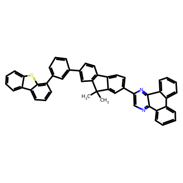 CC1(C)c2cc(-c3cccc(-c4cccc5c4sc4ccccc45)c3)ccc2-c2ccc(-c3cnc4c5ccccc5c5ccccc5c4n3)cc21